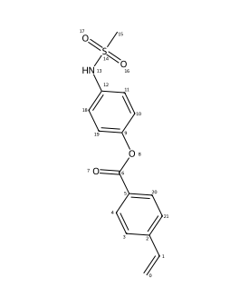 C=Cc1ccc(C(=O)Oc2ccc(NS(C)(=O)=O)cc2)cc1